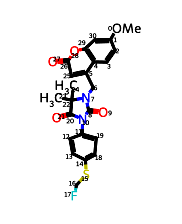 COc1ccc2c(CN3C(=O)N(c4ccc(SCF)cc4)C(=O)C3(C)C)cc(=O)oc2c1